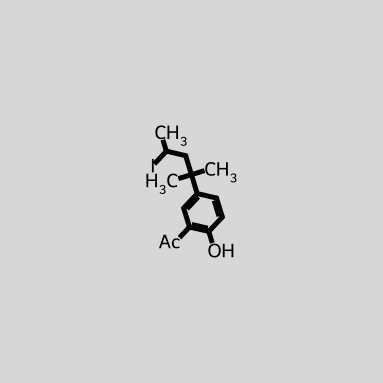 CC(=O)c1cc(C(C)(C)CC(C)I)ccc1O